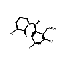 C[C@@H](c1cc(F)cc(Cl)c1CO)N1CCC[C@H](O)C1=O